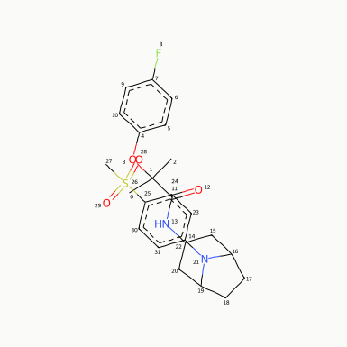 CC(C)(Oc1ccc(F)cc1)C(=O)NC1CC2CCC(C1)N2c1ccc(S(C)(=O)=O)cc1